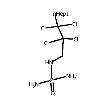 CCCCCCCC(Cl)(Cl)C(Cl)(Cl)CNP(N)(N)=O